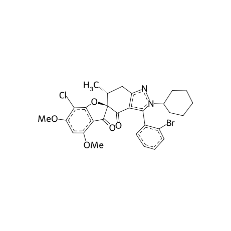 COc1cc(OC)c2c(c1Cl)O[C@]1(C2=O)C(=O)c2c(nn(C3CCCCC3)c2-c2ccccc2Br)C[C@H]1C